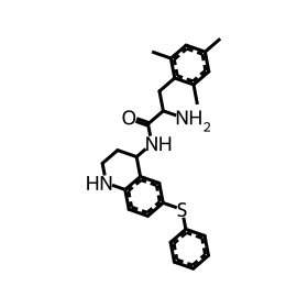 Cc1cc(C)c(CC(N)C(=O)NC2CCNc3ccc(Sc4ccccc4)cc32)c(C)c1